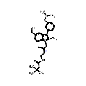 Cc1c(-c2cccc(SN(C)C)c2)c2cc(CO)ccc2n1C/C(F)=C/CNC(=O)OC(C)(C)C